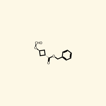 O=CO[C@H]1C[C@H](C(=O)OCc2ccccc2)C1